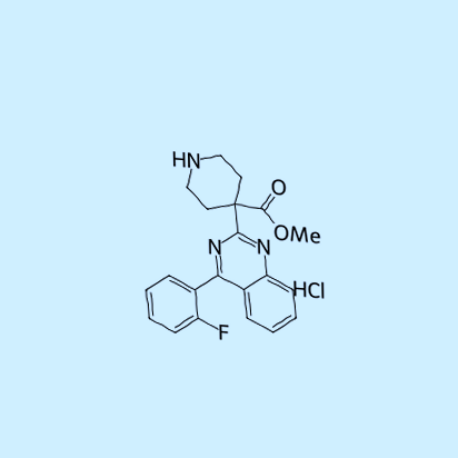 COC(=O)C1(c2nc(-c3ccccc3F)c3ccccc3n2)CCNCC1.Cl